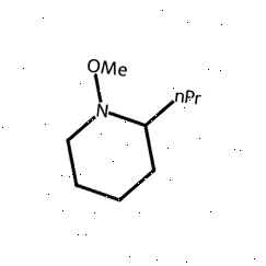 CCCC1CCCCN1OC